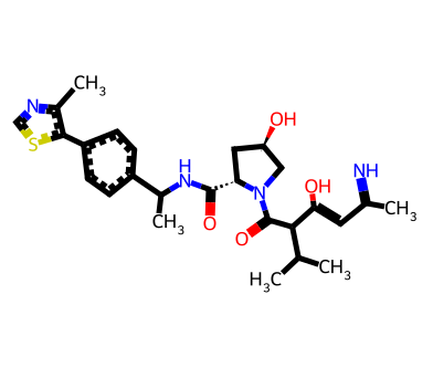 CC(=N)/C=C(\O)C(C(=O)N1C[C@H](O)C[C@H]1C(=O)NC(C)c1ccc(-c2scnc2C)cc1)C(C)C